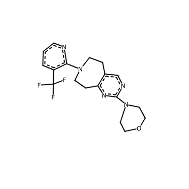 FC(F)(F)c1cccnc1N1CCc2[c]nc(N3CCOCC3)nc2CC1